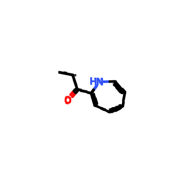 C[CH]C(=O)C1=CC=CC=CN1